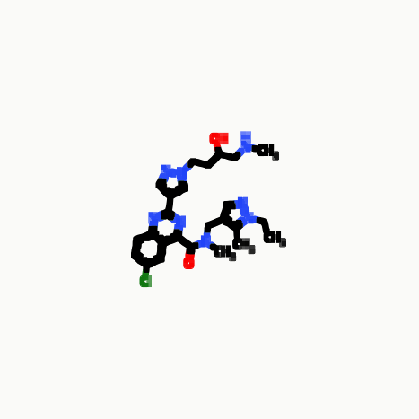 CCn1ncc(CN(C)C(=O)c2nc(-c3cnn(CCC(O)CNC)c3)nc3ccc(Cl)cc23)c1C